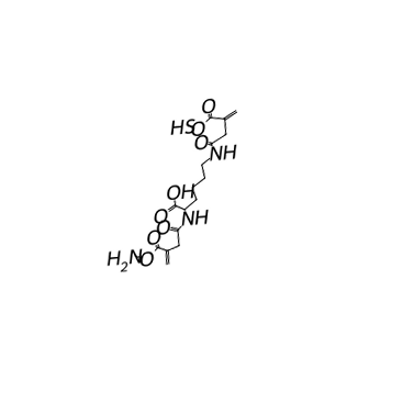 C=C(CC(=O)NC(CCCCNC(=O)CC(=C)C(=O)OS)C(=O)O)C(=O)ON